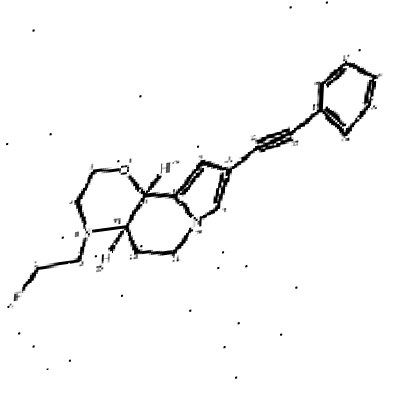 FCCN1CCO[C@@H]2c3cc(C#Cc4ccccc4)cn3CC[C@@H]21